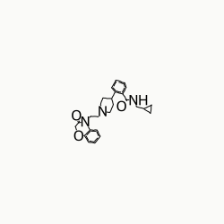 O=C(NCC1CC1)c1ccccc1C1CCN(CCN2C(=O)COc3ccccc32)CC1